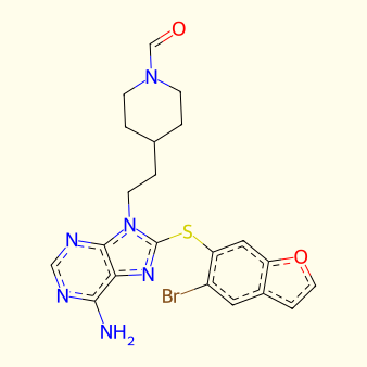 Nc1ncnc2c1nc(Sc1cc3occc3cc1Br)n2CCC1CCN(C=O)CC1